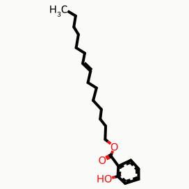 CCCCCCC=CCCCCCCCOC(=O)c1ccccc1O